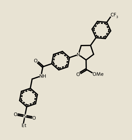 CCS(=O)(=O)c1ccc(CNC(=O)c2ccc(N3CC(c4ccc(C(F)(F)F)cc4)CC3C(=O)OC)cc2)cc1